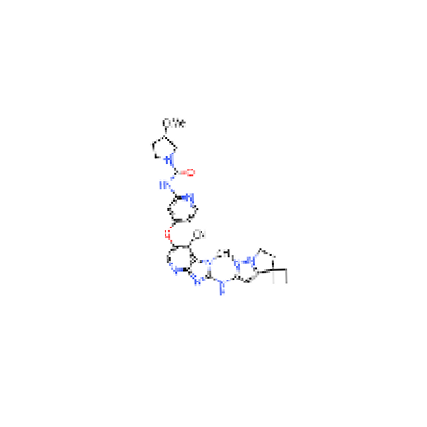 COC1CCN(C(=O)Nc2cc(Oc3cnc4nc(Nc5cc6n(n5)CCC65CCC5)n(C)c4c3C#N)ccn2)C1